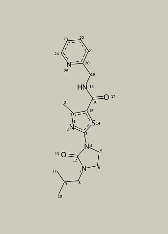 Cc1nc(N2CCN(CC(C)C)C2=O)sc1C(=O)NCc1ccccn1